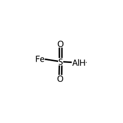 O=[S](=O)([AlH])[Fe]